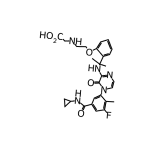 Cc1c(F)cc(C(=O)NC2CC2)cc1-n1ccnc(NC(C)(C)c2ccccc2OCCNCC(=O)O)c1=O